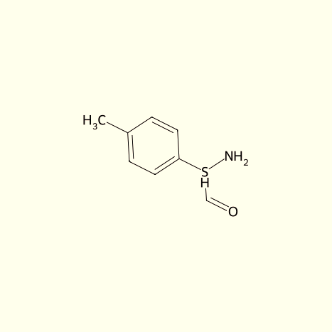 Cc1ccc([SH](N)C=O)cc1